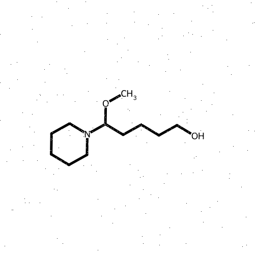 COC(CCCCO)N1CCCCC1